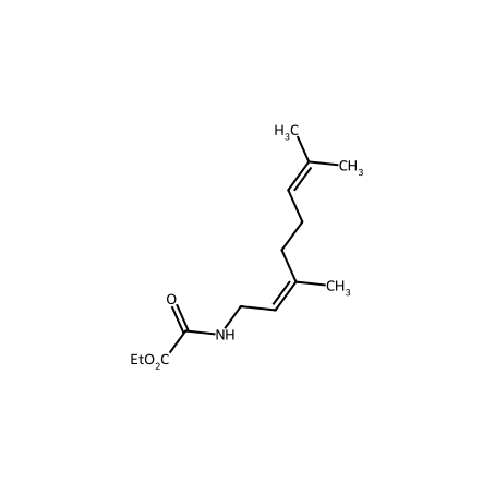 CCOC(=O)C(=O)NCC=C(C)CCC=C(C)C